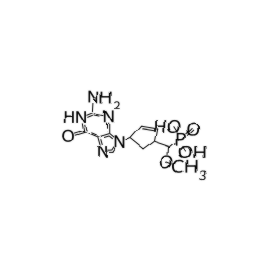 COC(C1C=CC(n2cnc3c(=O)[nH]c(N)nc32)C1)P(=O)(O)O